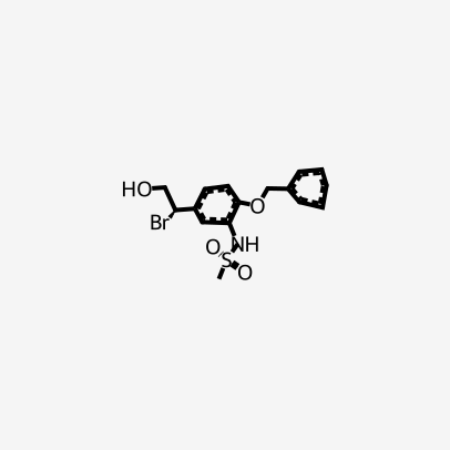 CS(=O)(=O)Nc1cc([C@@H](Br)CO)ccc1OCc1ccccc1